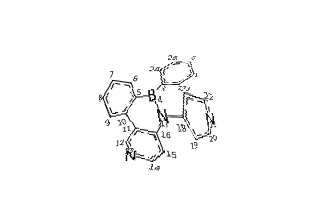 c1ccc(B2c3ccccc3-c3cnccc3N2c2ccncc2)cc1